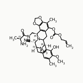 C=CCOC(=O)Oc1c(C)c2c(c3c1CC1[C@H]4c5c(cc(C)c(OC)c5O)C[C@@H]([C@H](C#N)N1[C@H]3CNC(=O)[C@H](C)N)N4C)OCO2